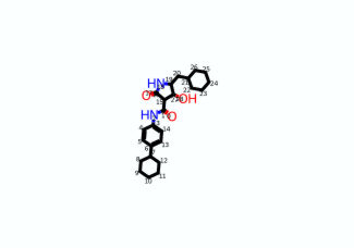 O=C(Nc1ccc(C2CCCCC2)cc1)C1C(=O)NC(CC2CCCCC2)C1O